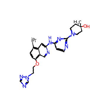 CC(C)c1ccc(OCCn2cncn2)c2cnc(Nc3ccnc(N4CCC(C)(O)CC4)n3)cc12